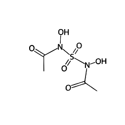 CC(=O)N(O)S(=O)(=O)N(O)C(C)=O